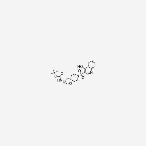 CC(C)(C)OC(=O)N[C@H]1COC2(CCN(S(=O)(=O)c3cnc4ccccc4c3O)CC2)C1